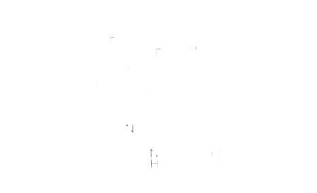 CC([O])c1c(C(F)(F)F)n[nH]c1Cl